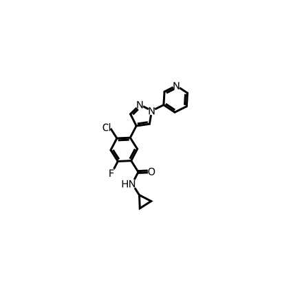 O=C(NC1CC1)c1cc(-c2cnn(-c3cccnc3)c2)c(Cl)cc1F